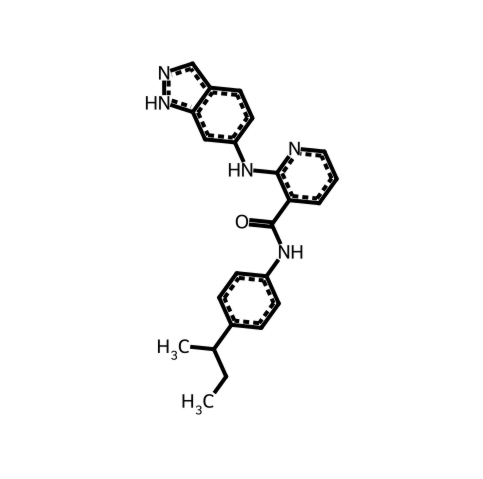 CCC(C)c1ccc(NC(=O)c2cccnc2Nc2ccc3cn[nH]c3c2)cc1